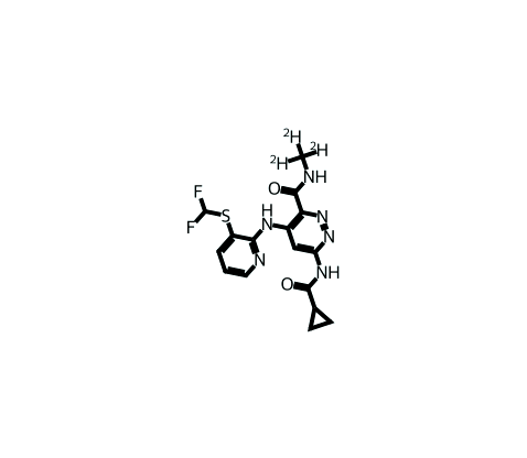 [2H]C([2H])([2H])NC(=O)c1nnc(NC(=O)C2CC2)cc1Nc1ncccc1SC(F)F